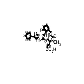 CN(C(=O)NCc1cccc(F)c1F)[C@@H](CCC(=O)O)COC(=O)Nc1cc(-c2ccccc2)on1